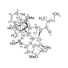 C/C=C(\C)C(=O)O[C@H]1C[C@@H](OC(C)=O)[C@@]2(C(=O)OC)CO[C@@H]3C2[C@]12CO[C@H](C(=O)OC)[C@H]2[C@](C)(C12OC14C1C[C@@]42O[C@@H]2OC=CC12O)[C@@H]3O